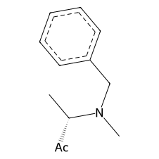 CC(=O)[C@H](C)N(C)Cc1ccccc1